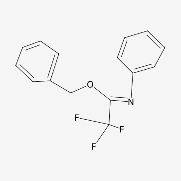 FC(F)(F)C(=Nc1ccccc1)OCc1ccccc1